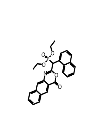 CCOP(=O)(OCC)C(c1nc2cc3ccccc3cc2c(=O)o1)c1cccc2ccccc12